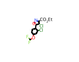 CCOC(=O)c1noc(-c2ccc(OC(F)F)cc2Cl)c1Cl